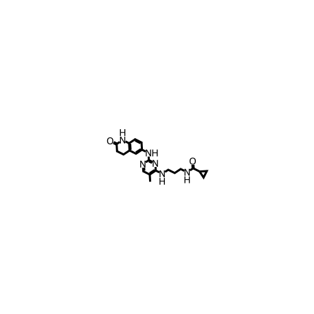 Cc1cnc(Nc2ccc3c(c2)CCC(=O)N3)nc1NCCCNC(=O)C1CC1